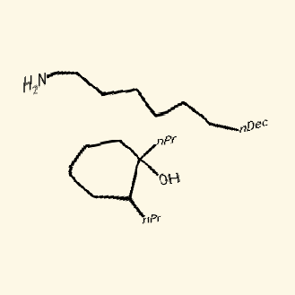 CCCC1CCCCC1(O)CCC.CCCCCCCCCCCCCCCCN